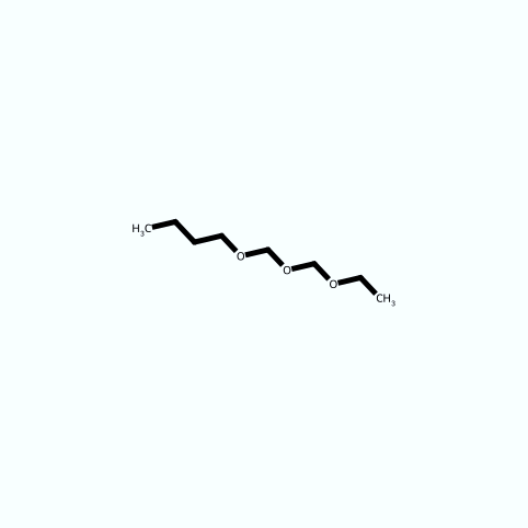 CCCCOCOCOCC